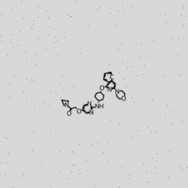 O=C(COc1cnc(N[C@H]2CC[C@@H](Oc3nc(N4CCOCC4)cc4ccccc34)CC2)nc1)N1CCC1